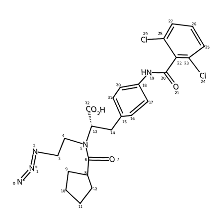 [N-]=[N+]=NCCN(C(=O)C1CCCC1)[C@@H](Cc1ccc(NC(=O)c2c(Cl)cccc2Cl)cc1)C(=O)O